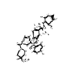 CC1(C(=O)O)CCN(C(=O)N2CC[C@](c3ccc(C(OCc4c(F)cccc4F)(C(F)(F)F)C(F)(F)F)cc3)(S(=O)(=O)c3ccc(F)cc3)C2)CC1